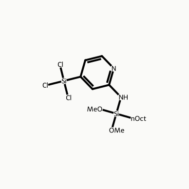 CCCCCCCC[Si](Nc1cc([Si](Cl)(Cl)Cl)ccn1)(OC)OC